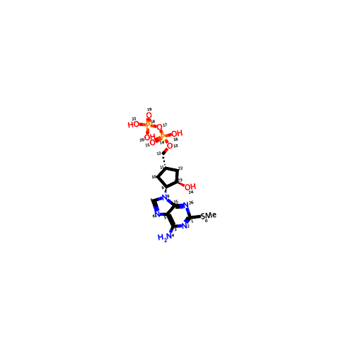 CSc1nc(N)c2ncn([C@@H]3C[C@H](COP(=O)(O)OP(=O)(O)O)C[C@H]3O)c2n1